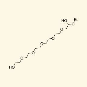 CCOC(O)COCCOCCOCCOCCOCCO